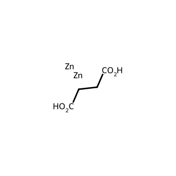 O=C(O)CCC(=O)O.[Zn].[Zn]